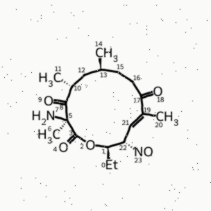 CC[C@H]1OC(=O)[C@@](C)(N)C(=O)[C@H](C)C[C@@H](C)CCC(=O)/C(C)=C/[C@@H]1N=O